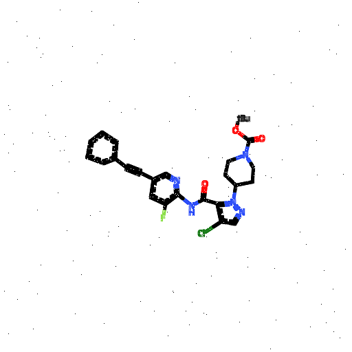 CC(C)(C)OC(=O)N1CCC(n2ncc(Cl)c2C(=O)Nc2ncc(C#Cc3ccccc3)cc2F)CC1